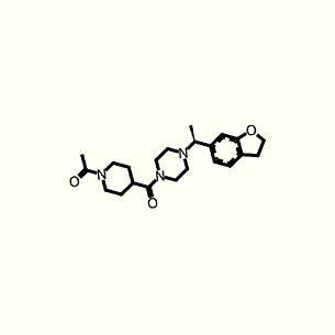 CC(=O)N1CCC(C(=O)N2CCN([C@@H](C)c3ccc4c(c3)OCC4)CC2)CC1